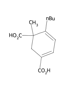 CCCCC1=CC=C(C(=O)O)CC1(C)C(=O)O